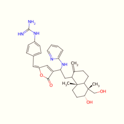 C=C1CCC2[C@](C)(CC[C@@H](O)[C@@]2(C)CO)C1CC(Nc1ccccn1)C1=C/C(=C\c2ccc(NC(=N)N)cc2)OC1=O